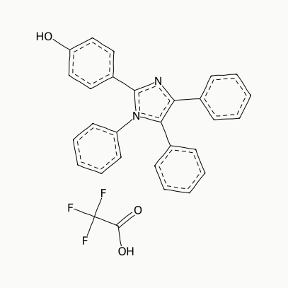 O=C(O)C(F)(F)F.Oc1ccc(-c2nc(-c3ccccc3)c(-c3ccccc3)n2-c2ccccc2)cc1